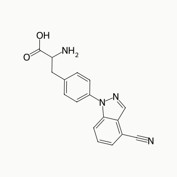 N#Cc1cccc2c1cnn2-c1ccc(CC(N)C(=O)O)cc1